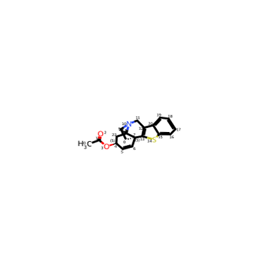 CC(=O)O[C@@H]1C=C[C@]23CCN(Cc4c2sc2ccccc42)[C@H]3C1